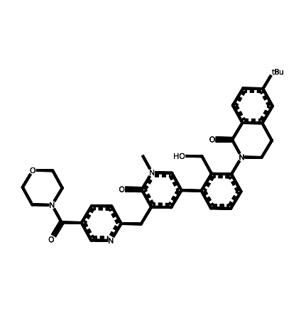 Cn1cc(-c2cccc(N3CCc4cc(C(C)(C)C)ccc4C3=O)c2CO)cc(Cc2ccc(C(=O)N3CCOCC3)cn2)c1=O